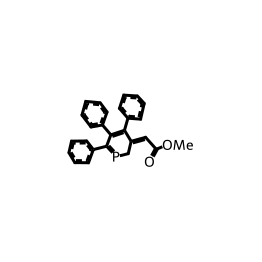 COC(=O)C=C1CP=C(c2ccccc2)C(c2ccccc2)=C1c1ccccc1